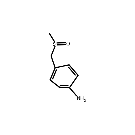 C[Si](=O)Cc1ccc(N)cc1